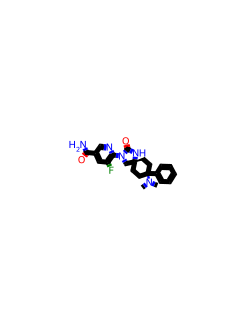 CN(C)[C@]1(c2ccccc2)CC[C@@]2(CC1)CN(c1ncc(C(N)=O)cc1F)C(=O)N2